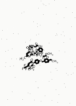 CCc1ccc(COc2ccc(-n3c(=O)cc(C(F)(F)F)n(C)c3=O)cc2)c(OC(C)C(=O)OC)c1.Cc1ccn2nc(S(=O)(=O)Nc3c(F)cccc3F)nc2n1.O=C(O)CNCP(=O)(O)O